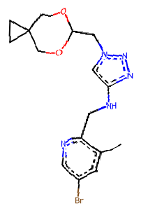 Cc1cc(Br)cnc1CNc1cn(CC2OCC3(CC3)CO2)nn1